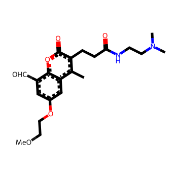 COCCOc1cc(C=O)c2oc(=O)c(CCC(=O)NCCN(C)C)c(C)c2c1